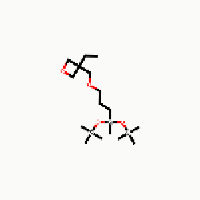 CCC1(COCCC[Si](C)(O[Si](C)(C)C)O[Si](C)(C)C)COC1